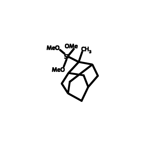 CO[Si](OC)(OC)C1(C)C2CC3CC(C2)CC1C3